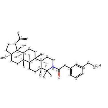 C=C(C)[C@@H]1CC[C@]2(C=O)CC[C@]3(C)[C@H](CC[C@@H]4[C@@]5(C)CCN(C(=O)Cc6cccc(CC(=O)O)c6)C(C)(C)[C@@H]5CC[C@]43C)[C@@H]12